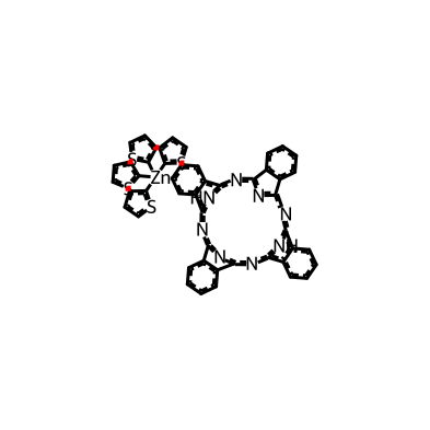 c1cs[c]([Zn]([c]2ccc3c4nc5nc(nc6[nH]c(nc7nc(nc([nH]4)c3c2)-c2ccccc2-7)c2ccccc62)-c2ccccc2-5)([c]2cccs2)([c]2cccs2)[c]2cccs2)c1